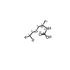 C[C@H](CSCC(F)F)NC(=O)O